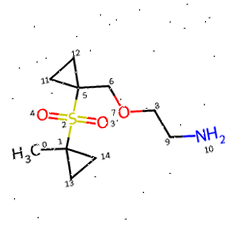 CC1(S(=O)(=O)C2(COCCN)CC2)CC1